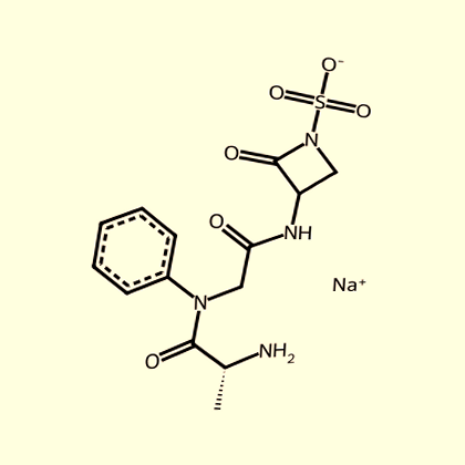 C[C@@H](N)C(=O)N(CC(=O)NC1CN(S(=O)(=O)[O-])C1=O)c1ccccc1.[Na+]